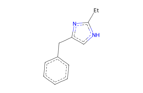 [CH2]Cc1nc(Cc2ccccc2)c[nH]1